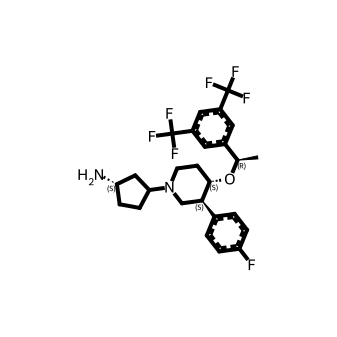 C[C@@H](O[C@H]1CCN(C2CC[C@H](N)C2)C[C@@H]1c1ccc(F)cc1)c1cc(C(F)(F)F)cc(C(F)(F)F)c1